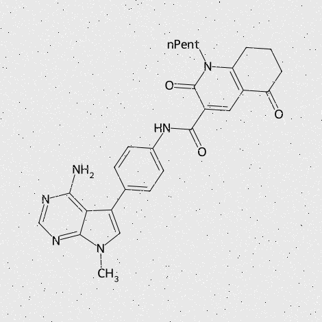 CCCCCn1c2c(cc(C(=O)Nc3ccc(-c4cn(C)c5ncnc(N)c45)cc3)c1=O)C(=O)CCC2